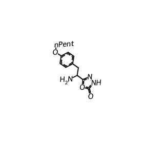 CCCCCOc1ccc(CC(N)c2n[nH]c(=O)o2)cc1